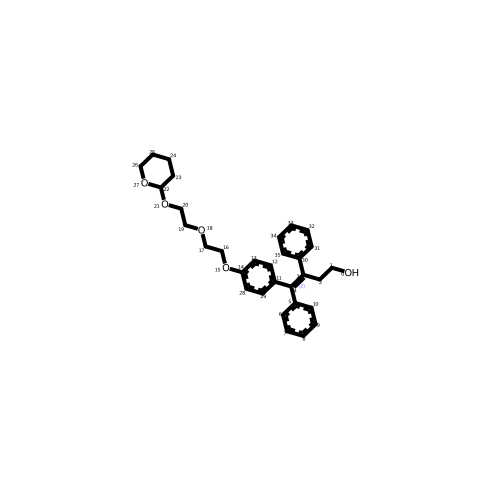 OCC/C(=C(\c1ccccc1)c1ccc(OCCOCCOC2CCCCO2)cc1)c1ccccc1